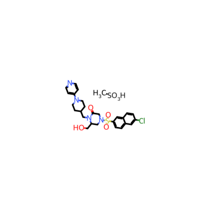 CS(=O)(=O)O.O=C1CN(S(=O)(=O)c2ccc3cc(Cl)ccc3c2)CC(CO)N1CC1CCN(c2ccncc2)CC1